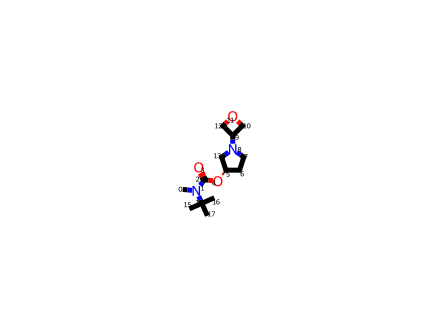 CN(C(=O)O[C@H]1CCN(C2COC2)C1)C(C)(C)C